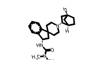 CN(C)C(=O)N[C@H]1CC2(CCN([C@@H]3C[C@@H]4CC[C@@H]3C4)CC2)c2ccccc21